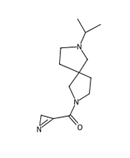 CC(C)N1CCC2(CCN(C(=O)C3=NC3)C2)C1